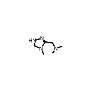 CN(C)CC1=NNCN1C